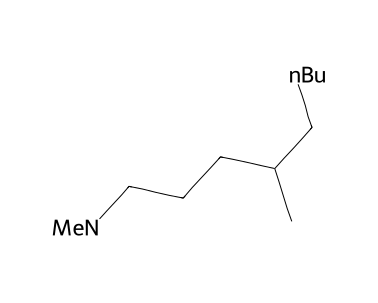 CCCCCC(C)CCCNC